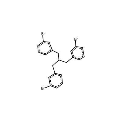 Brc1cccc(CC(Cc2cccc(Br)c2)Cc2cccc(Br)c2)c1